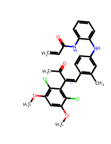 C=CC(=O)Nc1ccccc1Nc1ccc(/C=C(\C(C)=O)c2c(Cl)c(OC)cc(OC)c2Cl)c(C)c1